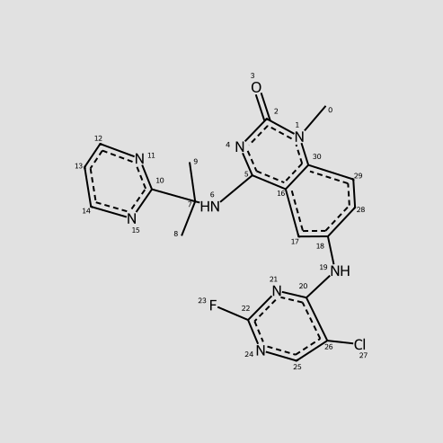 Cn1c(=O)nc(NC(C)(C)c2ncccn2)c2cc(Nc3nc(F)ncc3Cl)ccc21